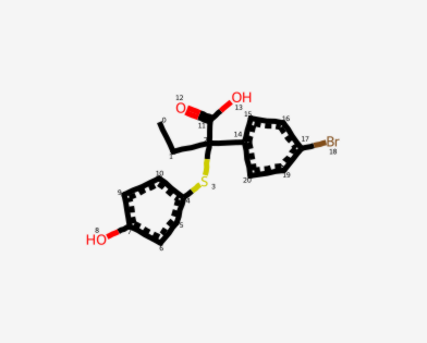 CCC(Sc1ccc(O)cc1)(C(=O)O)c1ccc(Br)cc1